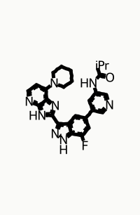 CC(C)C(=O)Nc1cncc(-c2cc(F)c3[nH]nc(-c4nc5c(N6CCCCC6)ccnc5[nH]4)c3c2)c1